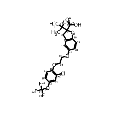 CC(C)(C)C1(C(=O)O)Cc2cc(OCCOc3ccc(OC(F)(F)F)cc3Cl)ccc2O1